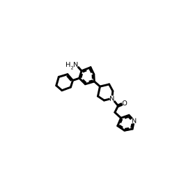 Nc1ccc(C2CCN(C(=O)Cc3cccnc3)CC2)cc1C1=CCCCC1